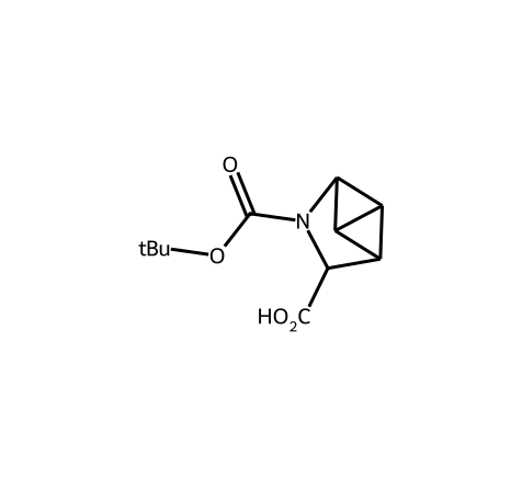 CC(C)(C)OC(=O)N1C(C(=O)O)C2C3C2C31